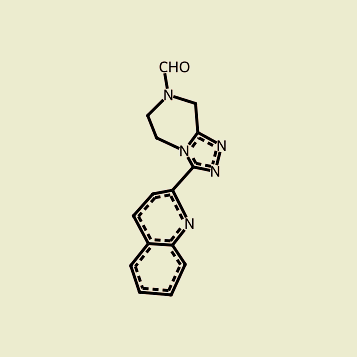 O=CN1CCn2c(nnc2-c2ccc3ccccc3n2)C1